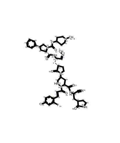 C/N=C\[C@H](C[C@@H]1CCN(C2CNN(C(=O)/C=C/c3ccc(Cl)cc3F)C(C(=O)NC(C#N)CC3CCNC3=O)C2)C1=O)NC(=O)[C@@H]1C[C@@H](c2ccccc2)CN1C(=O)OC1CCN(C)CC1